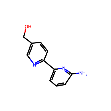 Nc1cccc(-c2ccc(CO)cn2)n1